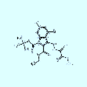 CCOC(=O)c1c(NOC(=O)C(=O)OC)c2c(Cl)cc(Cl)cc2n1C(=O)OC(C)(C)C